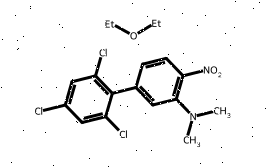 CCOCC.CN(C)c1cc(-c2c(Cl)cc(Cl)cc2Cl)ccc1[N+](=O)[O-]